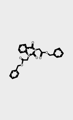 O=C(Cn1c(=O)c2ccccc2n(CC(=O)OCc2ccccc2)c1=O)OCc1ccccc1